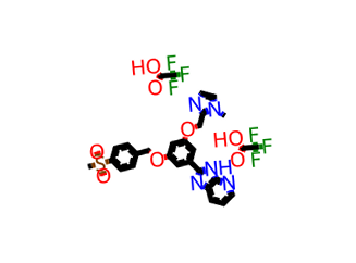 Cn1ccnc1COc1cc(OCc2ccc(S(C)(=O)=O)cc2)cc(-c2nc3cccnc3[nH]2)c1.O=C(O)C(F)(F)F.O=C(O)C(F)(F)F